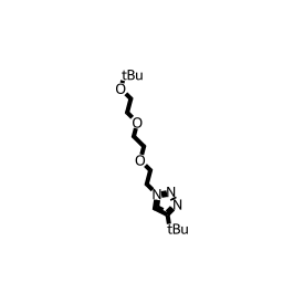 CC(C)(C)OCCOCCOCCn1cc(C(C)(C)C)nn1